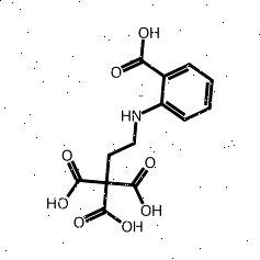 O=C(O)c1ccccc1NCCC(C(=O)O)(C(=O)O)C(=O)O